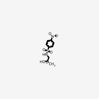 C[C@@H](O)CNS(=O)(=O)c1ccc([N+](=O)[O-])cc1